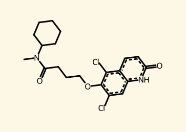 CN(C(=O)CCCOc1c(Cl)cc2[nH]c(=O)ccc2c1Cl)C1CCCCC1